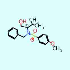 COc1ccc(S(=O)(=O)N(Cc2ccccc2)[C@@H](CO)C(C)C)cc1